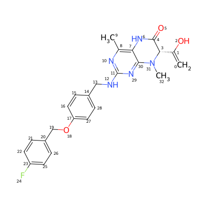 C=C(O)[C@H]1C(=O)Nc2c(C)nc(NCc3ccc(OCc4ccc(F)cc4)cc3)nc2N1C